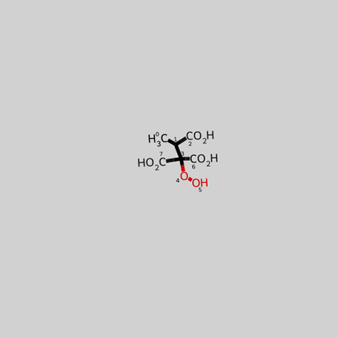 CC(C(=O)O)C(OO)(C(=O)O)C(=O)O